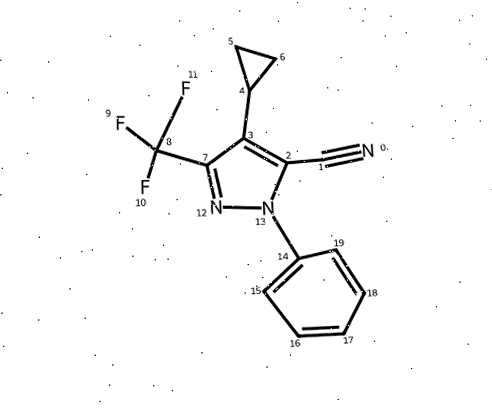 N#Cc1c(C2CC2)c(C(F)(F)F)nn1-c1ccccc1